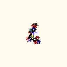 COc1cc(-c2cn(C)c(=O)c3cc(C(=O)NC4CCN(C(=O)OC(C)(C)C)CC4(F)F)sc23)cc(OC)c1CN(C)C